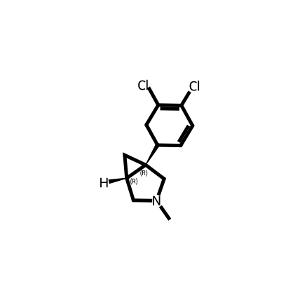 CN1C[C@@H]2C[C@]2(C2C=CC(Cl)=C(Cl)C2)C1